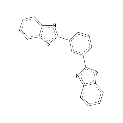 c1cc(-c2nc3ccccc3s2)cc(-c2nc3ccccc3s2)c1